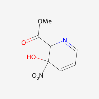 COC(=O)C1N=CC=CC1(O)[N+](=O)[O-]